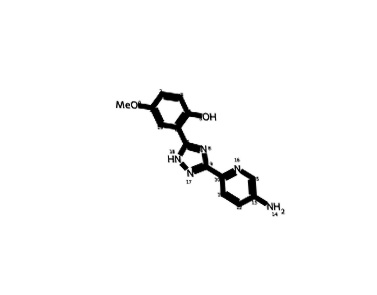 COc1ccc(O)c(-c2nc(-c3ccc(N)cn3)n[nH]2)c1